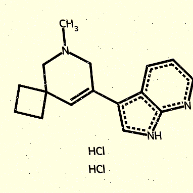 CN1CC(c2c[nH]c3ncccc23)=CC2(CCC2)C1.Cl.Cl